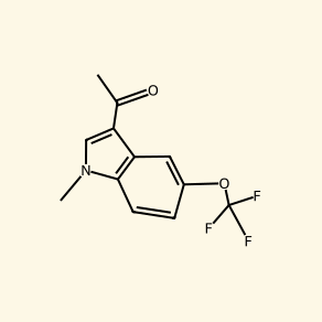 CC(=O)c1cn(C)c2ccc(OC(F)(F)F)cc12